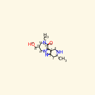 C[C@@H]1Cc2nn3c(c2CN1)C(=O)N(C)C[C@H](CO)C3